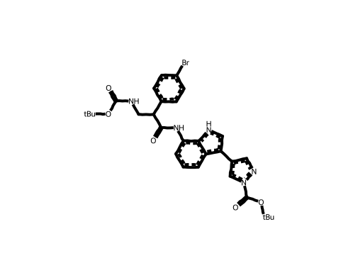 CC(C)(C)OC(=O)NCC(C(=O)Nc1cccc2c(-c3cnn(C(=O)OC(C)(C)C)c3)c[nH]c12)c1ccc(Br)cc1